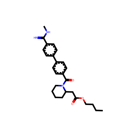 CCCCOC(=O)CC1CCCCN1C(=O)c1ccc(-c2ccc(C(=N)NC)cc2)cc1